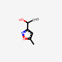 Cc1cc(C(O)C=O)no1